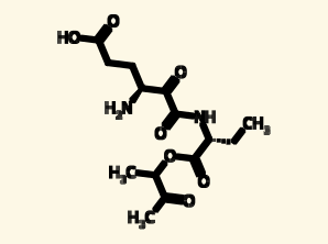 CC[C@@H](NC(=O)C(=O)[C@@H](N)CCC(=O)O)C(=O)OC(C)C(C)=O